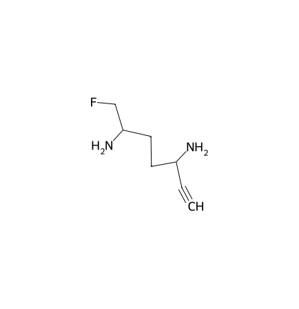 C#CC(N)CCC(N)CF